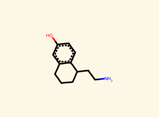 NCCC1CCCc2cc(O)ccc21